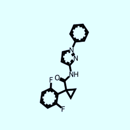 O=C(Nc1ccn(-c2ccccc2)n1)C1(c2c(F)cccc2F)CC1